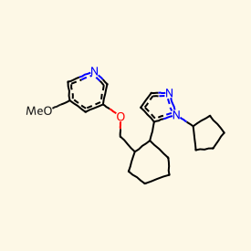 COc1cncc(OCC2CCCCC2c2ccnn2C2CCCC2)c1